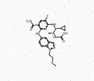 COCCn1ncc2cc(Nc3nc(N[C@@H](C4CC4)[C@H](C)NC(=O)O)c(F)cc3C(N)=O)ccc21